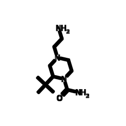 CC(C)(C)C1CN(CCN)CCN1C(N)=O